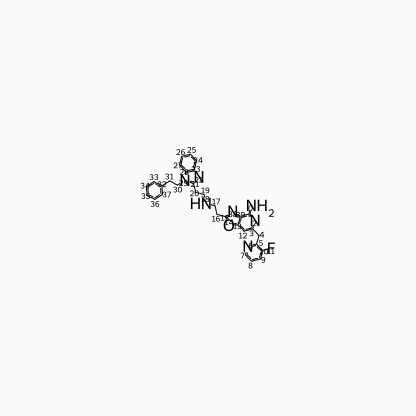 Nc1nc(Cc2ncccc2F)cc2oc(CCNCCc3nc4ccccc4n3CCc3ccccc3)nc12